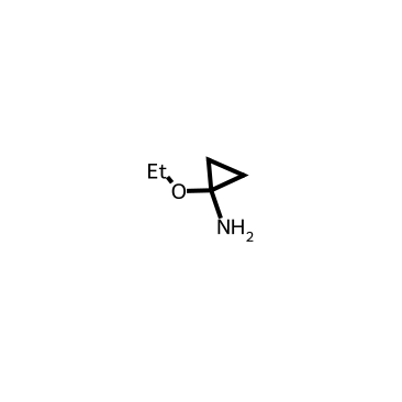 CCOC1(N)CC1